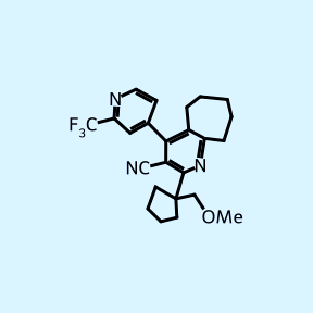 COCC1(c2nc3c(c(-c4ccnc(C(F)(F)F)c4)c2C#N)CCCCC3)CCCC1